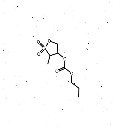 CCCOC(=O)OC1COS(=O)(=O)C1C